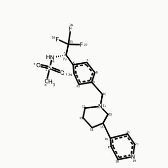 CS(=O)(=O)N[C@@H](c1ccc(CN2CCCC(c3ccncc3)C2)cc1)C(F)(F)F